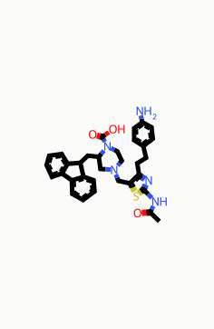 CC(=O)Nc1nc(CCc2ccc(N)cc2)c(CN2CCN(C(=O)O)C(CC3c4ccccc4-c4ccccc43)C2)s1